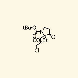 CCOC(=O)C1(CCCCl)C(=O)CCN1C(=O)OC(C)(C)C